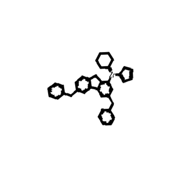 C1=CC[C]([Zr](=[C]2CCCCC2)[c]2cc(Cc3ccccc3)cc3c2Cc2ccc(Cc4ccccc4)cc2-3)=C1